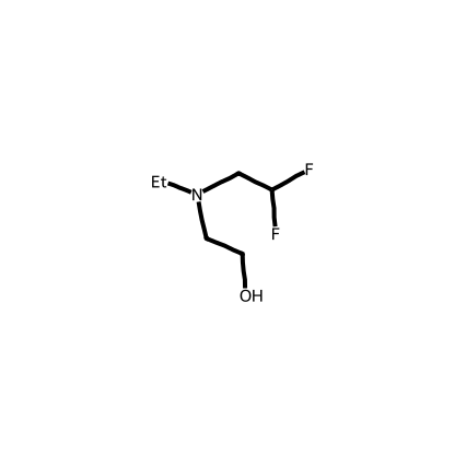 CCN(CCO)CC(F)F